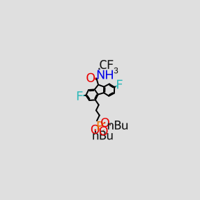 CCCCOP(=O)(CCCCc1cc(F)cc2c1-c1ccc(F)cc1C2C(=O)NCC(F)(F)F)OCCCC